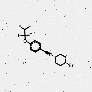 CC[C@H]1CC[C@H](C#Cc2ccc(OC(F)(F)C(F)F)cc2)CC1